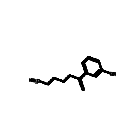 O=C(O)CCCCC(=O)c1cccc(O)c1